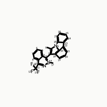 Cc1c(-c2c3ccccc3c(C(F)(F)F)n[n+]2C)c2cccc3c4ccccc4n1c23